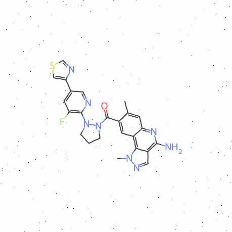 Cc1cc2nc(N)c3cnn(C)c3c2cc1C(=O)N1CCCN1c1ncc(-c2cscn2)cc1F